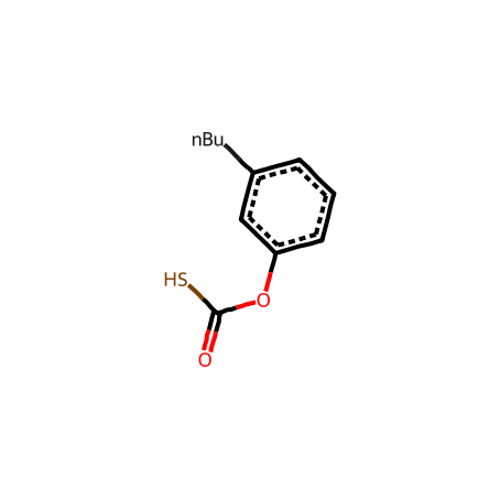 CCCCc1cccc(OC(=O)S)c1